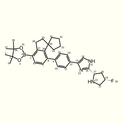 CC1(C)OB(c2ccc(-c3ccc(-c4c[nH]c([C@@H]5C[C@H](F)CN5)n4)cc3)c3c2CCC32CCCC2)OC1(C)C